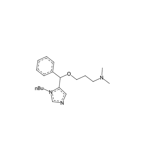 CCCCn1cncc1C(OCCCN(C)C)c1ccccc1